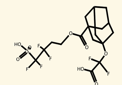 O=C(OCCC(F)(F)C(F)(F)S(=O)(=O)O)C12CC3CC(CC(OC(F)(F)C(=O)O)(C3)C1)C2